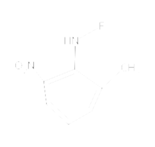 Cc1cccc([N+](=O)[O-])c1NF